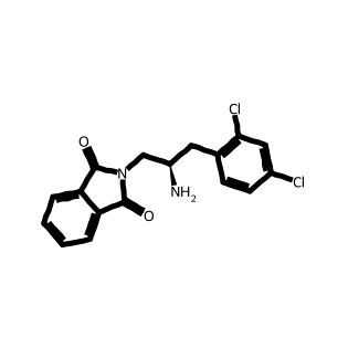 N[C@H](Cc1ccc(Cl)cc1Cl)CN1C(=O)c2ccccc2C1=O